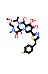 COCCN(C)C(=O)[C@]1(C)CN(C(C)C)C(=O)c2c(O)c(=O)c(-c3ncc(Cc4ccc(F)cc4)s3)cn21